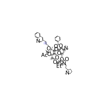 CC[C@@H](OC(=O)[C@H](C)C(=O)[C@H](C)[C@@H](O[C@@H]1O[C@H](C)C[C@H](N(C)C)[C@H]1OC(=O)c1ccccc1)C(C)(C[C@@H](C)C(C)=O)OC/C=C/c1cnc2ccccc2c1)[C@@]1(C)OC(=O)N(CCC2CCCN2C)[C@@H]1C